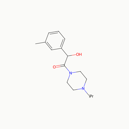 Cc1cccc(C(O)C(=O)N2CCN(C(C)C)CC2)c1